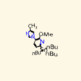 CCC[CH2][Sn]([CH2]CCC)([CH2]CCC)[c]1ccc(-n2cnc(C)c2)c(OC)n1